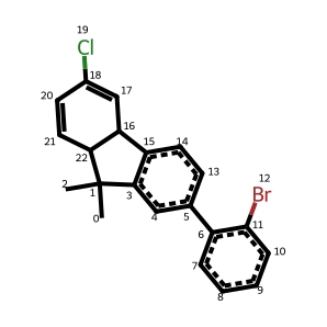 CC1(C)c2cc(-c3ccccc3Br)ccc2C2C=C(Cl)C=CC21